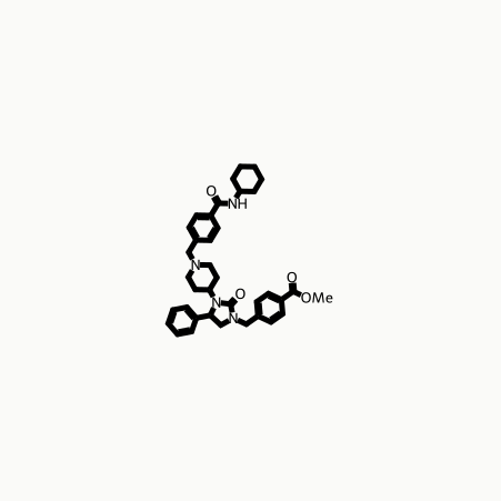 COC(=O)c1ccc(CN2CC(c3ccccc3)N(C3CCN(Cc4ccc(C(=O)NC5CCCCC5)cc4)CC3)C2=O)cc1